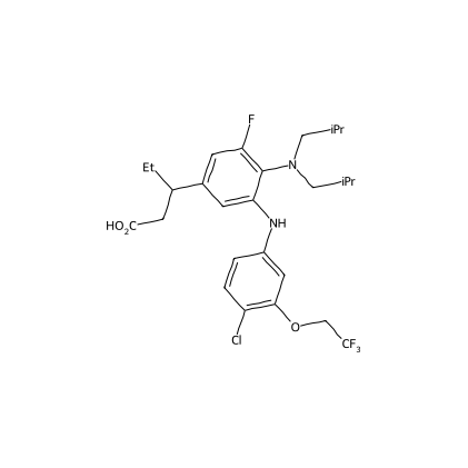 CCC(CC(=O)O)c1cc(F)c(N(CC(C)C)CC(C)C)c(Nc2ccc(Cl)c(OCC(F)(F)F)c2)c1